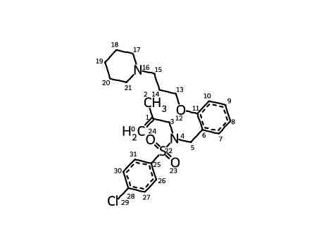 C=C(C)CN(Cc1ccccc1OCCCN1CCCCC1)S(=O)(=O)c1ccc(Cl)cc1